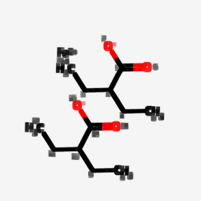 CCC(CC)C(=O)[O-].CCC(CC)C(=O)[O-].[Fe+2]